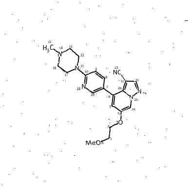 COCCOc1cc(-c2ccc(N3CCN(C)CC3)nc2)c2c(C#N)cnn2c1